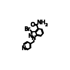 NC(=O)c1cccc2c1c(Br)nn2Cc1ccncc1